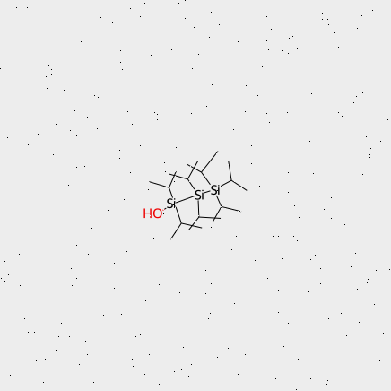 CC(C)[Si](O)(C(C)C)[Si](C(C)C)(C(C)C)[Si](C(C)C)(C(C)C)C(C)C